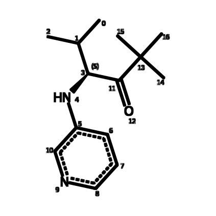 CC(C)[C@H](Nc1cccnc1)C(=O)C(C)(C)C